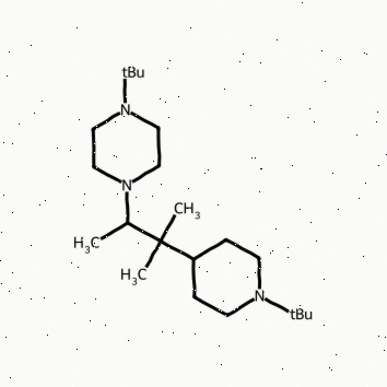 CC(N1CCN(C(C)(C)C)CC1)C(C)(C)C1CCN(C(C)(C)C)CC1